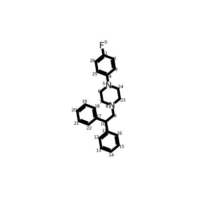 Fc1ccc(N2CCN(CC(c3ccccc3)c3ccccc3)CC2)cc1